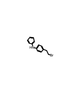 BrCCc1ccc(Nc2ccccc2)cc1